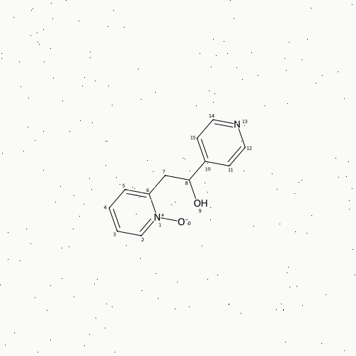 [O-][n+]1ccccc1CC(O)c1ccncc1